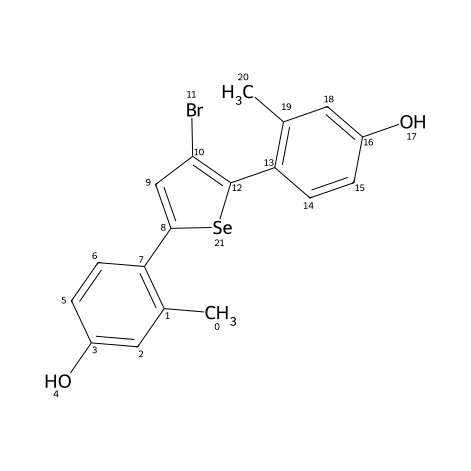 Cc1cc(O)ccc1-c1cc(Br)c(-c2ccc(O)cc2C)[se]1